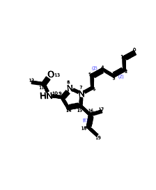 C=C/C=C\C=C/Cn1nc(NC(C)=O)cc1/C(C)=C/C